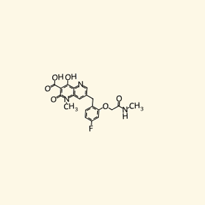 CNC(=O)COc1cc(F)ccc1Cc1cnc2c(O)c(C(=O)O)c(=O)n(C)c2c1